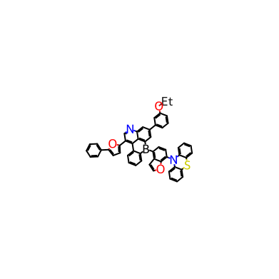 CCOc1cccc(-c2cc3c4c(c(-c5ccc(-c6ccccc6)o5)cnc4c2)-c2ccccc2B3c2ccc(N3c4ccccc4Sc4ccccc43)c3occc23)c1